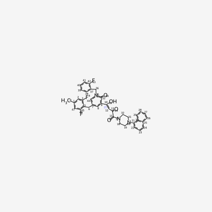 Cc1cc(F)c(Cc2cc(/C(O)=C/C(=O)C(=O)N3CCN(c4cccc5ccccc45)CC3)c(=O)n(Cc3ccccc3F)c2)c(F)c1